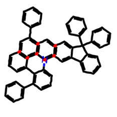 c1ccc(-c2cccc(N(c3ccc4c(c3)-c3ccccc3C4(c3ccccc3)c3ccccc3)c3cccc(-c4ccccc4)c3-c3ccccc3-c3ccccc3)c2)cc1